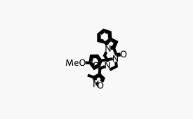 COc1ccc(C23Cn4c(cc5ccccc54)C(=O)N2CCN3C(=O)c2conc2C)cc1